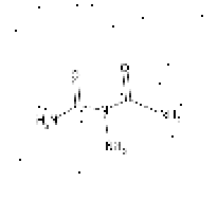 NC(=O)N(N)C(N)=O